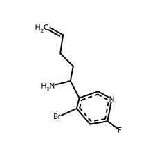 C=CCCC(N)c1cnc(F)cc1Br